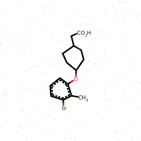 Cc1c(Br)cccc1OC1CCC(CC(=O)O)CC1